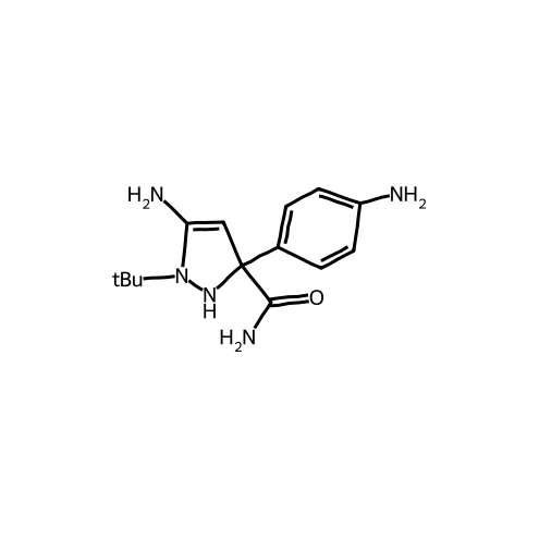 CC(C)(C)N1NC(C(N)=O)(c2ccc(N)cc2)C=C1N